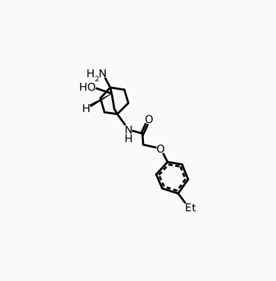 CCc1ccc(OCC(=O)NC23CCC(N)(CC2)[C@@H](O)C3)cc1